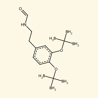 BC(B)(B)Oc1ccc(CCNC=O)cc1OC(B)(B)B